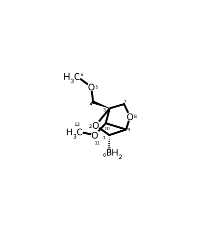 B[C@@H]1O[C@]2(COC)COC1C2OC